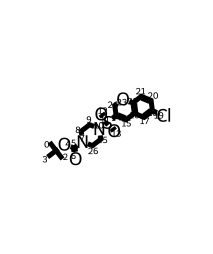 CC(C)(C)OC(=O)N1CCN(S(=O)(=O)C2=Cc3cc(Cl)ccc3OC2)CC1